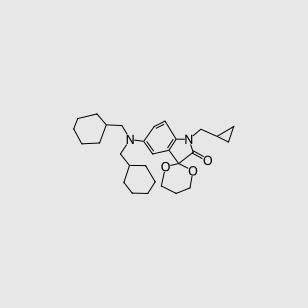 O=C1N(CC2CC2)c2ccc(N(CC3CCCCC3)CC3CCCCC3)cc2C12OCCCO2